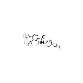 Nc1ccc(C(=O)Nc2ccc(C(F)(F)F)nc2)cc1N